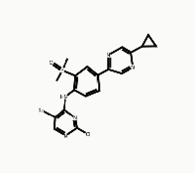 CP(C)(=O)c1cc(-c2cnc(C3CC3)cn2)ccc1Nc1nc(Cl)ncc1Br